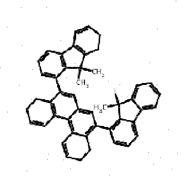 CC1(C)C2=C(C=CCC2)c2cccc(-c3cc4cc(-c5cccc6c5C(C)(I)c5ccccc5-6)c5c(c4c4c3CCC=C4)C=CCC5)c21